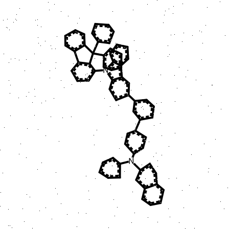 c1ccc(N(c2ccc(-c3cccc(-c4ccc5c(c4)c4ccccc4n5-c4cccc5c4C(c4ccccc4)(c4ccccc4)c4ccccc4-5)c3)cc2)c2ccc3ccccc3c2)cc1